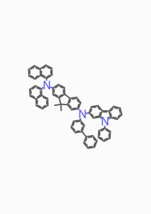 CC1(C)c2cc(N(c3cccc(-c4ccccc4)c3)c3ccc4c5ccccc5n(-c5ccccc5)c4c3)ccc2-c2ccc(N(c3cccc4ccccc34)c3cccc4ccccc34)cc21